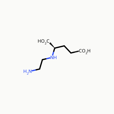 NCCN[C@H](CCC(=O)O)C(=O)O